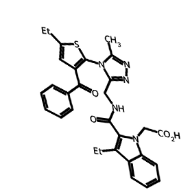 CCc1cc(C(=O)c2ccccc2)c(-n2c(C)nnc2CNC(=O)c2c(CC)c3ccccc3n2CC(=O)O)s1